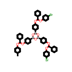 Cc1ccc(OC(Oc2ccc(B3OB(c4ccc(OC(Oc5ccc(Br)cc5)c5ccccc5)cc4)OB(c4ccc(OC(Oc5ccc(Br)cc5)c5ccccc5)cc4)O3)cc2)c2ccccc2)cc1